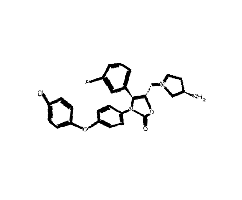 N[C@@H]1CCN(C[C@@H]2OC(=O)N(c3ccc(Oc4ccc(Cl)cc4)cc3)[C@H]2c2cccc(F)c2)C1